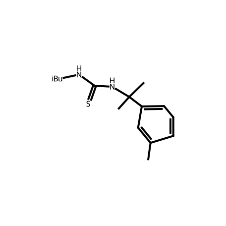 CCC(C)NC(=S)NC(C)(C)c1cccc(C)c1